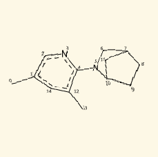 Cc1cnc(N2CC3CCC2C3)c(C)c1